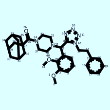 COc1cccc(C(c2nnnn2CCc2ccccc2)N2CCN(C(=O)C34CC5CC(CC(C5)C3)C4)CC2)c1OC